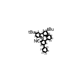 CC(C)(C)c1ccc2c(c1)c1cc(C(C)(C)C)ccc1n2-c1c(C#N)cc(-c2ccccc2)cc1-c1ccccc1